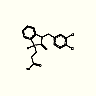 O=C(O)CC[N+]1([O-])C(=O)N(Cc2ccc(Cl)c(Cl)c2)c2ccccc21